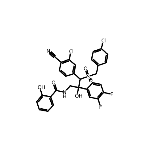 N#Cc1ccc(C(C(O)(CNC(=O)c2ccccc2O)c2ccc(F)c(F)c2)S(=O)(=O)Cc2ccc(Cl)cc2)cc1Cl